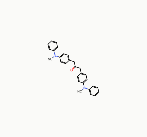 N#CN(c1ccccc1)c1ccc(CC(=O)Cc2ccc(N(C#N)c3ccccc3)cc2)cc1